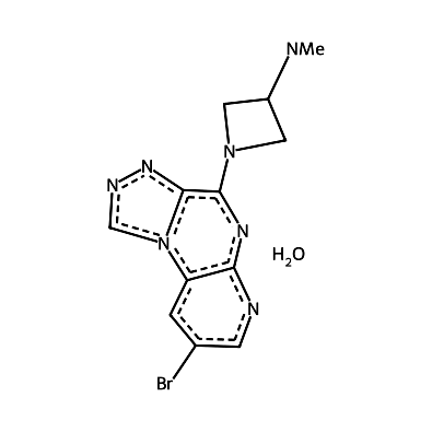 CNC1CN(c2nc3ncc(Br)cc3n3cnnc23)C1.O